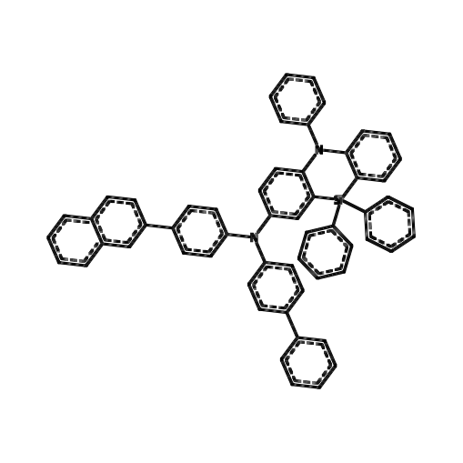 c1ccc(-c2ccc(N(c3ccc(-c4ccc5ccccc5c4)cc3)c3ccc4c(c3)[Si](c3ccccc3)(c3ccccc3)c3ccccc3N4c3ccccc3)cc2)cc1